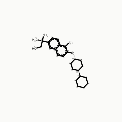 C[C@](N)(CO)c1ccc2c(C(F)(F)F)c(O[C@H]3CC[C@H](C4CCCCC4)CC3)ccc2c1